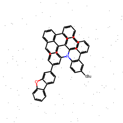 CC(C)(C)c1ccc(N(c2cccc(-c3ccc4c(c3)oc3ccccc34)c2)c2ccccc2-c2cccc3cccc(-c4ccccc4)c23)c(-c2ccccc2)c1